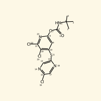 CC(C)(C)NC(=O)Oc1cc(Sc2cnc(Cl)cn2)c(Cl)c(Cl)n1